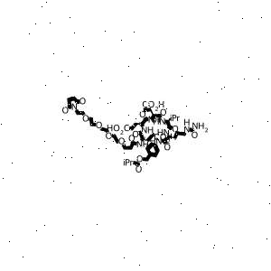 CC(C)C(=O)OCc1ccc(NC(=O)[C@H](CCCNC(N)=O)NC(=O)[C@@H](NC(=O)[C@H](CCC(=O)O)NC(=O)[C@H](CCC(=O)O)NC(=O)[C@H](CCC(=O)O)NC(=O)CCOCCOCCOCCOCCN2C(=O)C=CC2=O)C(C)C)cc1